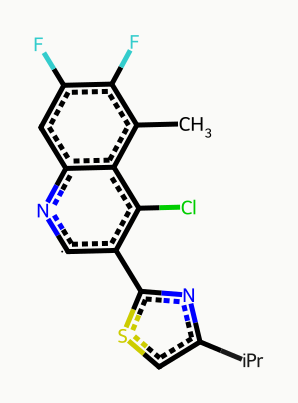 Cc1c(F)c(F)cc2n[c]c(-c3nc(C(C)C)cs3)c(Cl)c12